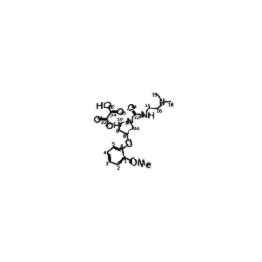 COc1ccccc1OC1CCN(C(=O)NCCN(C)C)C1.O=C(O)C(=O)O